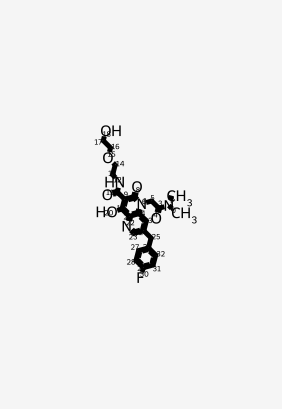 CN(C)C(=O)Cn1c(=O)c(C(=O)NCCOCCO)c(O)c2ncc(Cc3ccc(F)cc3)cc21